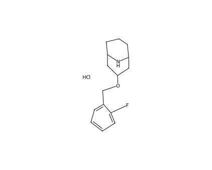 Cl.Fc1ccccc1COC1CC2CCCC(C1)N2